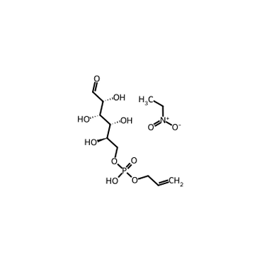 C=CCOP(=O)(O)OC[C@@H](O)[C@@H](O)[C@H](O)[C@@H](O)C=O.CC[N+](=O)[O-]